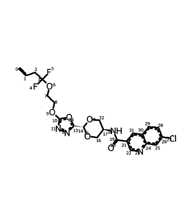 C=CCC(F)(F)OCCOc1nnc([C@H]2OC[C@H](NC(=O)c3cnc4cc(Cl)ccc4c3)CO2)o1